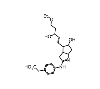 CCOCC[C@H](O)C=CC1C(O)CC2N=C(Nc3ccc(CC(=O)O)cc3)CC21